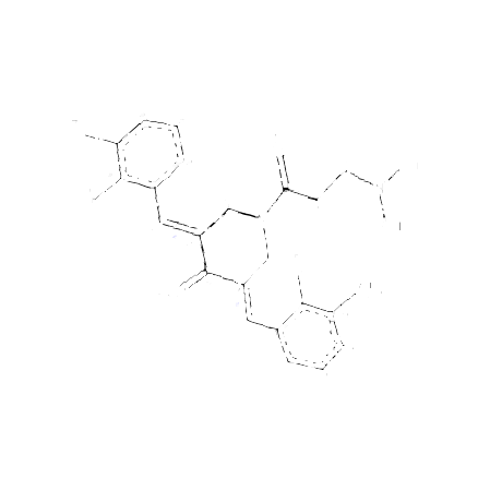 CN(C)CCC(=O)N1C/C(=C\c2cccc(C(F)(F)F)c2Cl)C(=O)/C(=C/c2cccc(C(F)(F)F)c2Cl)C1